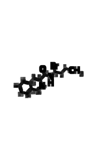 CCCC(Br)NC(=O)c1cc2ccccc2cn1